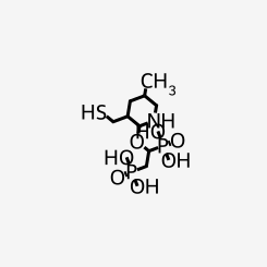 CC1CNC(OC(CP(=O)(O)O)P(=O)(O)O)C(CS)C1